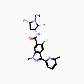 CC[C@H]1C[C@@H](NC(=O)c2cc3c(cc2Cl)c(-c2cccc(C)n2)nn3C)[C@@H](C)N1C#N